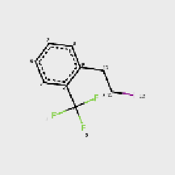 FC(F)(F)c1ccccc1CCI